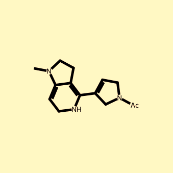 CC(=O)N1CC=C(C2=C3CCN(C)C3=CCN2)C1